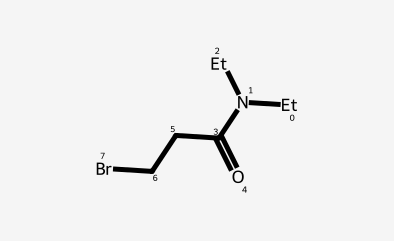 CCN(CC)C(=O)CCBr